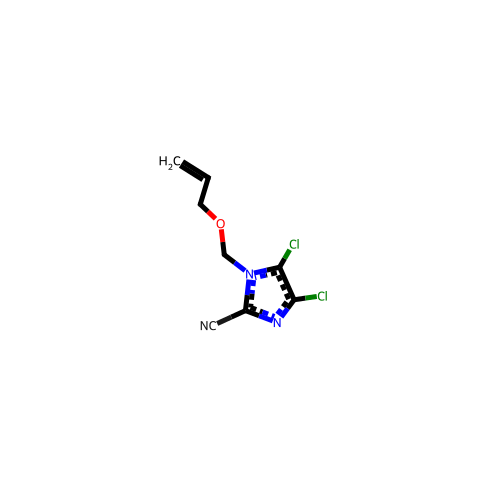 C=CCOCn1c(C#N)nc(Cl)c1Cl